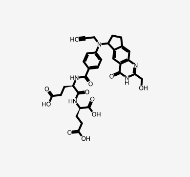 C#CCN(c1ccc(C(=O)N[C@H](CCC(=O)O)C(=O)N[C@H](CCC(=O)O)C(=O)O)cc1)C1CCc2cc3nc(CO)[nH]c(=O)c3cc21